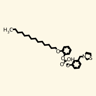 CCCCCCCCCCCCCCOc1ccccc1OP(=O)(O)Oc1cccc(CN2C=CSC2)c1